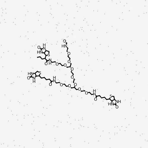 CCCC(C(=O)NCCOCCOCC(COCCOCCNC=O)OCCOCCOC(COCCOCCNC(=O)CCCCC1SCC2NC(=O)NC21)COCCOCCNC(=O)CCCCC1SCC2NC(=O)NC21)C1SCC2NC(=O)NC21